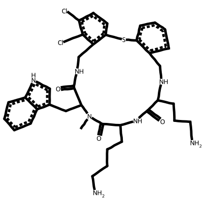 CN1C(=O)C(CCCCN)NC(=O)C(CCCN)NCc2ccccc2Sc2ccc(Cl)c(Cl)c2CNC(=O)C1Cc1c[nH]c2ccccc12